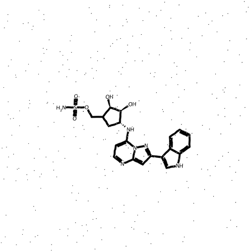 NS(=O)(=O)OCC1C[C@@H](Nc2ccnc3cc(-c4c[nH]c5ccccc45)nn23)[C@H](O)[C@@H]1O